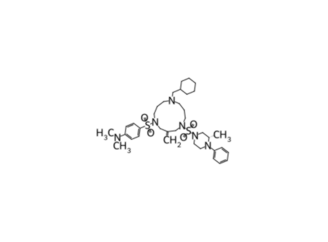 C=C1CN(S(=O)(=O)c2ccc(N(C)C)cc2)CCCN(CC2CCCCC2)CCCN(S(=O)(=O)N2CCN(c3ccccc3)[C@@H](C)C2)C1